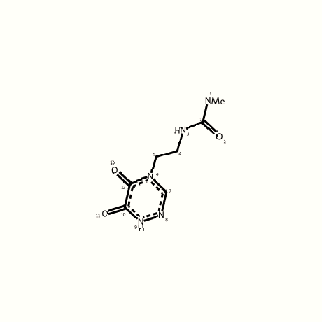 CNC(=O)NCCn1[c]n[nH]c(=O)c1=O